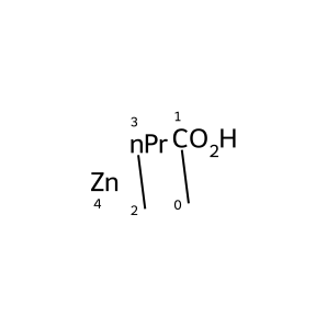 CC(=O)O.CCCC.[Zn]